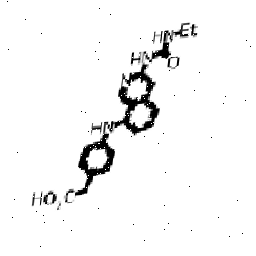 CCNC(=O)Nc1cc2cccc(Nc3ccc(CC(=O)O)cc3)c2cn1